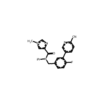 CC(C)N(Cc1ccc(F)c(-c2ccc(C#N)nc2)c1)C(=O)c1cn(C)cn1